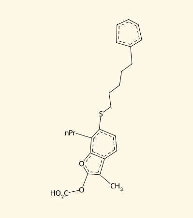 CCCc1c(SCCCCCc2ccccc2)ccc2c(C)c(OC(=O)O)oc12